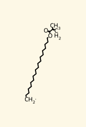 [CH2]CCCCCCCCCCCCCCCCCCCOC(=O)C(=C)C